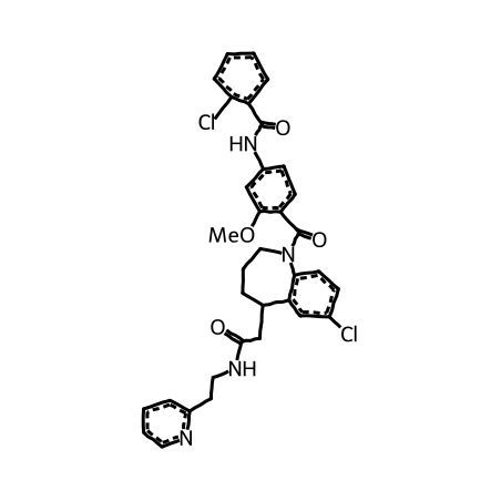 COc1cc(NC(=O)c2ccccc2Cl)ccc1C(=O)N1CCCC(CC(=O)NCCc2ccccn2)c2cc(Cl)ccc21